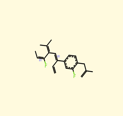 C=C/C(=C\C(=C(C)C)/C(F)=C\C)c1ccc(CC(=C)C)c(F)c1